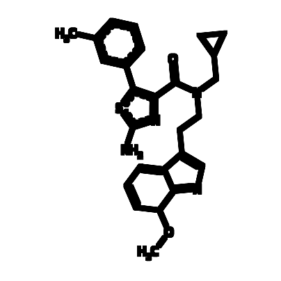 COC1C=CC=C2C(CCN(CC3CC3)C(=O)c3nc(N)sc3-c3cccc(C)c3)=CN=C21